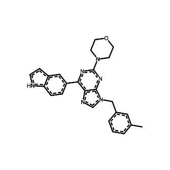 Cc1cccc(Cn2cnc3c(-c4ccc5[nH]ccc5c4)nc(N4CCOCC4)nc32)c1